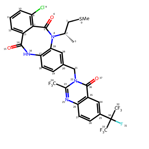 CSC[C@H](C)N1C(=O)c2c(Cl)cccc2C(=O)Nc2ccc(Cn3c(C(F)(F)F)nc4ccc(C(F)(C(F)(F)F)C(F)(F)F)cc4c3=O)cc21